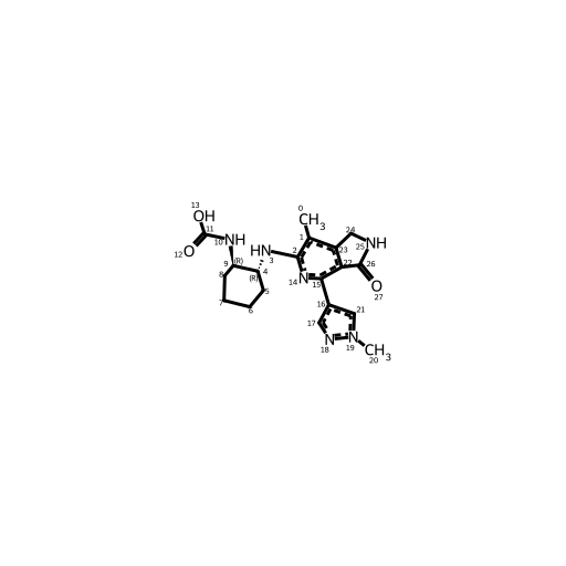 Cc1c(N[C@@H]2CCCC[C@H]2NC(=O)O)nc(-c2cnn(C)c2)c2c1CNC2=O